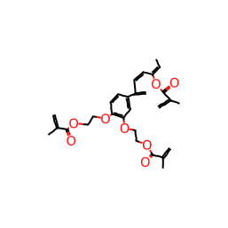 C=C(C)C(=O)OCCOc1ccc(C(=C)/C=C\C(=C/C)OC(=O)C(=C)C)cc1OCCOC(=O)C(=C)C